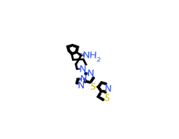 N[C@@H]1c2ccccc2CC12CCN(c1ncc(Sc3ccnc4sccc34)c3nccn13)CC2